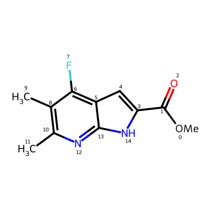 COC(=O)c1cc2c(F)c(C)c(C)nc2[nH]1